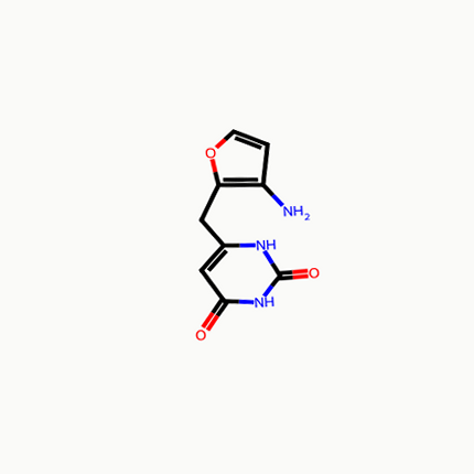 Nc1ccoc1Cc1cc(=O)[nH]c(=O)[nH]1